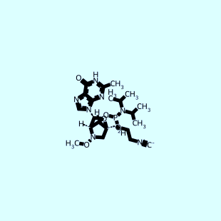 [2H]C[C@@]12CN(OC)[C@@H]([C@H](n3cnc4c(=O)[nH]c(C)nc43)O1)[C@@H]2OP(OCC[N+]#[C-])N(C(C)C)C(C)C